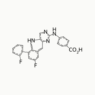 O=C(O)c1ccc(Nc2ncc3c(n2)C=c2cc(F)cc(-c4ccccc4F)c2=CN3)cc1